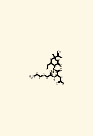 CCC(CC(C)(C)C(C)=O)C(NC(=O)C(CC(C)=O)NC(=O)COCCN)C(C)=O